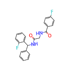 O=C(CNC(=O)c1ccc(F)cc1)NC(c1ccccc1)c1ccccc1F